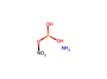 N.O=[N+]([O-])OP(O)O